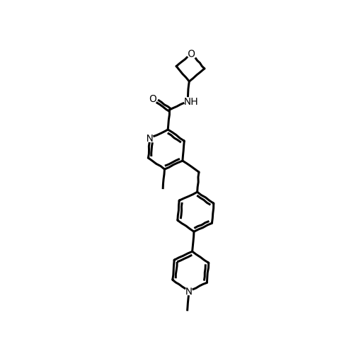 Cc1cnc(C(=O)NC2COC2)cc1Cc1ccc(C2=C=CN(C)C=C2)cc1